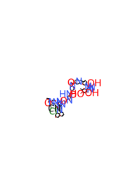 C=CC(=O)N1CCN(c2nc(OC[C@@H]3CC(NC(=O)C4CCN(C(=O)C5CCN(Cc6ccc(-n7c(O)nnc7-c7cc(C)c(O)cc7O)cc6)CC5)CC4)CN3C)nc3c2CCN(c2cccc4cccc(Cl)c24)C3)C[C@@H]1CC#N